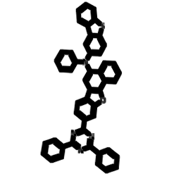 c1ccc(-c2nc(-c3ccccc3)nc(-c3ccc4c(c3)oc3c5ccccc5c(N(c5ccccc5)c5ccc6sc7ccccc7c6c5)cc43)n2)cc1